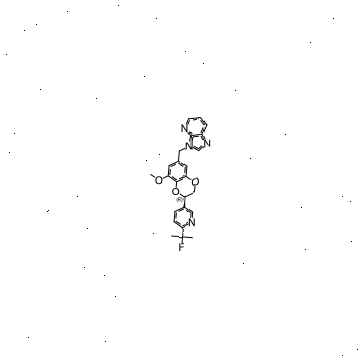 COc1cc(Cn2cnc3cccnc32)cc2c1O[C@H](c1ccc(C(C)(C)F)nc1)CO2